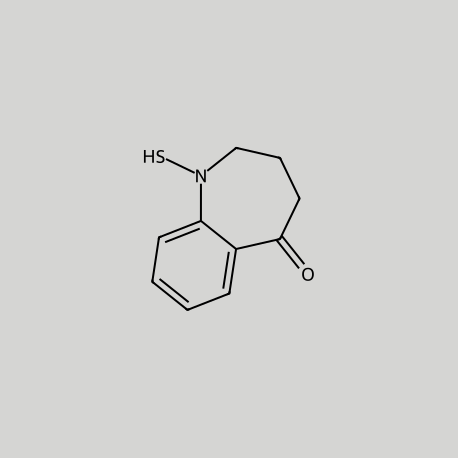 O=C1CCCN(S)c2ccccc21